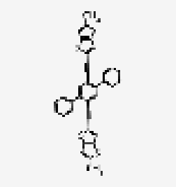 Cc1cc2sc(C#Cc3cc(-c4ccccc4)c(C#Cc4cc5sc(C)cc5s4)cc3-c3ccccc3)cc2s1